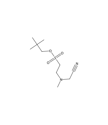 CN(CC#N)CCS(=O)(=O)OCC(C)(C)C